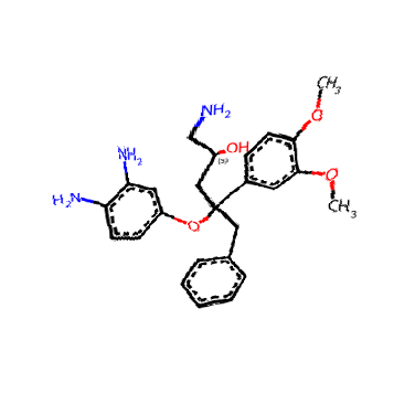 COc1ccc(C(Cc2ccccc2)(C[C@H](O)CN)Oc2ccc(N)c(N)c2)cc1OC